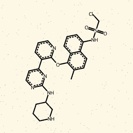 Cc1ccc2c(NS(=O)(=O)CCl)cccc2c1Oc1ncccc1-c1ccnc(NC2CCCNC2)n1